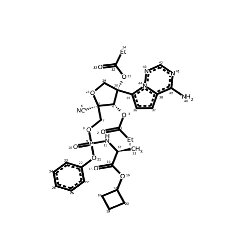 CCC(=O)O[C@@H]1[C@@](C#N)(COP(=O)(N[C@@H](C)C(=O)OC2CCC2)Oc2ccccc2)OC[C@@]1(OC(=O)CC)c1ccc2c(N)ncnn12